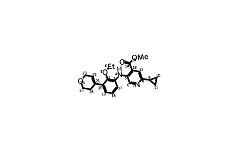 CCOc1c(Nc2cnc(C3CC3)cc2C(=O)OC)cccc1C1=CCOCC1